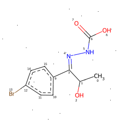 CC(O)C(=NNC(=O)O)c1ccc(Br)cc1